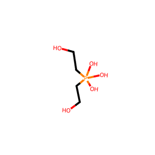 OCCP(O)(O)(O)CCO